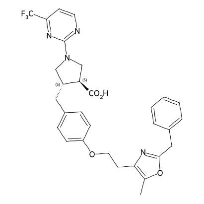 Cc1oc(Cc2ccccc2)nc1CCOc1ccc(C[C@@H]2CN(c3nccc(C(F)(F)F)n3)C[C@H]2C(=O)O)cc1